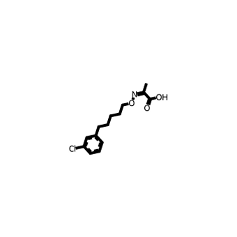 CC(=NOCCCCCc1cccc(Cl)c1)C(=O)O